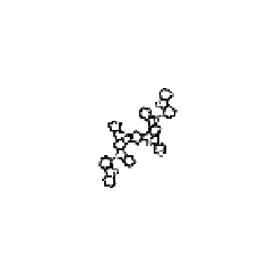 c1ccc2c(c1)oc1c(-n3c4ccccc4c4c5c6cc7c(cc6n6c8ccccc8c(cc43)c56)c3c4c5ccccc5n(-c5cccc6c5oc5ccccc56)c4cc4c5ccccc5n7c43)cccc12